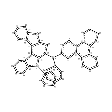 c1ccc(N(c2ccc3c4ccccc4c4ccccc4c3c2)c2cc3oc4ccccc4c3c3c4ccccc4n(-c4ccccc4)c23)cc1